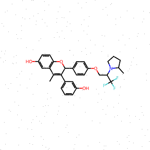 CC1=C(c2cccc(O)c2)C(c2ccc(OCC(N3CCCC3C)C(F)(F)F)cc2)Oc2ccc(O)cc21